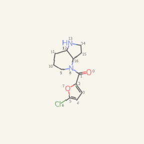 O=C(c1ccc(Cl)o1)N1CCCC2NCCC21